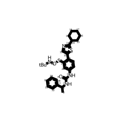 CC(NC(=O)Nc1ccc(-c2cnc(C3CCCCC3)s2)c(SONC(C)(C)C)c1)c1ccccc1